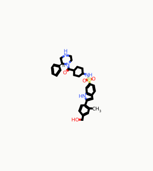 Cc1cc(CO)ccc1-c1cc2ccc(S(=O)(=O)NC3CCC(C(=O)N4CCNC[C@@H]4c4ccccc4)CC3)cc2[nH]1